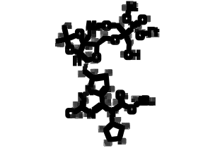 CCOP(=O)(OCC)C(CO)(COC)OC[C@H]1O[C@H](Cc2ccc3c(N(C(=O)OC(C)(C)C)C4CCCC4)nc(Cl)nn23)[C@@H]2OC(C)(C)O[C@@H]21